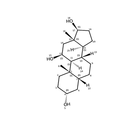 C[C@]12CC[C@@H](O)C[C@H]1CC[C@@H]1[C@@H]2[C@@H](O)C[C@]2(C)[C@@H](O)CC[C@@H]12